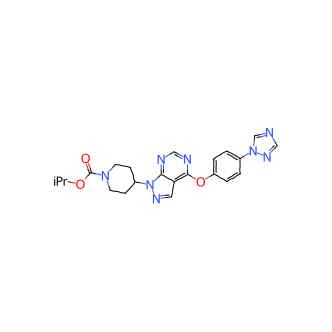 CC(C)OC(=O)N1CCC(n2ncc3c(Oc4ccc(-n5cncn5)cc4)ncnc32)CC1